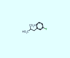 O=C(O)C(Cc1cccc(F)c1)C(=O)O